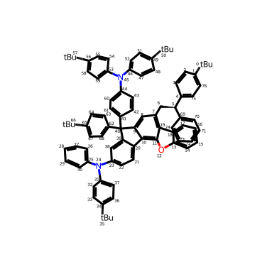 CC(C)(C)c1ccc([C@H](Cc2cc3c(c4oc5ccccc5c24)-c2ccc(N(c4ccccc4)c4ccc(C(C)(C)C)cc4)cc2C3(c2ccc(N(c3ccc(C(C)(C)C)cc3)c3ccc(C(C)(C)C)cc3)cc2)c2ccc(C(C)(C)C)cc2)c2ccccc2)cc1